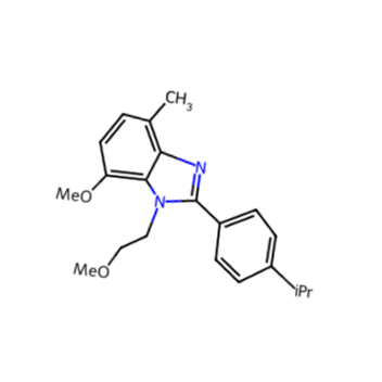 COCCn1c(-c2ccc(C(C)C)cc2)nc2c(C)ccc(OC)c21